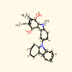 Cc1c(C)c(O)c2c(c1O)c1cc(-n3c4c(c5ccccc53)CCC=C4)ccc1n2C